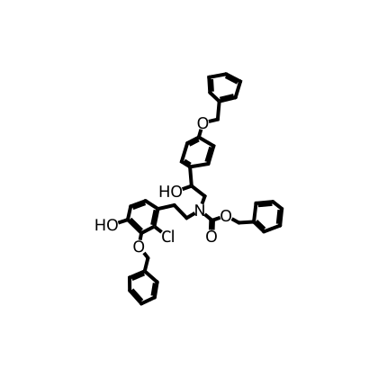 O=C(OCc1ccccc1)N(CCc1ccc(O)c(OCc2ccccc2)c1Cl)CC(O)c1ccc(OCc2ccccc2)cc1